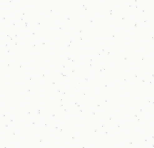 Cc1cnc(Cl)cc1[C]=O